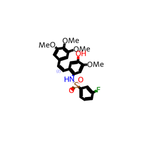 COc1cc(NS(=O)(=O)c2cccc(F)c2)c(/C=C\c2cc(OC)c(OC)c(OC)c2)cc1O